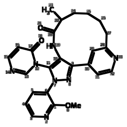 COc1ncccc1-n1nc2c(c1-n1cnccc1=O)NC(=O)C(C)CCCCc1cc-2ccn1